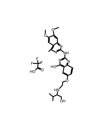 COc1cc2nc(Nc3nc(O)c4cc(OCCNC(CO)C(C)C)ccc4n3)nc(C)c2cc1OC.O=C(O)C(F)(F)F